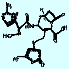 Cc1cc(SCC2=C(C(=O)O)N3C(=O)C[C@@H]3SC2NC(=O)C(=NO)c2csc(N)n2)cc(=O)o1